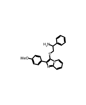 COc1ccc(-c2nc3ccccn3c2SCC(N)c2ccccc2)cc1